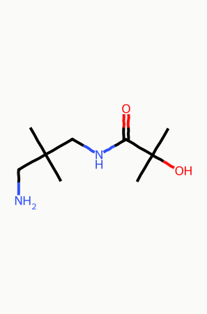 CC(C)(CN)CNC(=O)C(C)(C)O